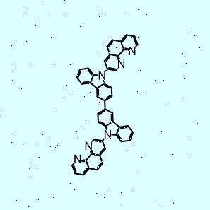 c1cnc2c(c1)ccc1cc(-n3c4ccccc4c4cc(-c5ccc6c(c5)c5ccccc5n6-c5cnc6c(ccc7cccnc76)c5)ccc43)cnc12